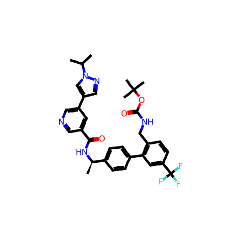 CC(C)n1cc(-c2cncc(C(=O)N[C@H](C)c3ccc(-c4cc(C(F)(F)F)ccc4CNC(=O)OC(C)(C)C)cc3)c2)cn1